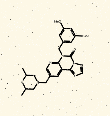 COc1cc(Cn2c(=O)n3ncnc3c3cc(CN4CC(C)OC(C)C4)cnc32)cc(OC)c1